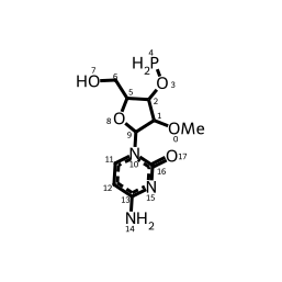 COC1C(OP)C(CO)OC1n1ccc(N)nc1=O